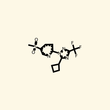 CS(=O)(=O)c1ccc(-n2nc(C(F)(F)F)nc2C2CCC2)nc1